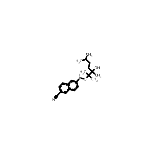 CC(C)CCC(C)(O)C(C)(C)OBc1ccc2cc(C#N)ccc2c1